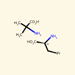 CC(C)(N)C(=O)O.CC(C)C[C@H](N)C(=O)O